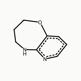 [CH]1CCNc2ncccc2O1